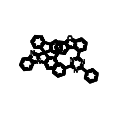 c1ccc(-c2nc(-c3ccccc3)nc(-c3cccc4oc5ccc(-c6cccc7c6C6(c8ccccc8-c8ccccc86)c6nc8ccccc8n6-7)cc5c34)n2)cc1